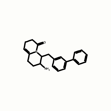 NC1CCC2=CCCC(=O)N2C1Cc1cccc(-c2ccccc2)c1